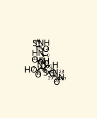 CC(NC(=O)[C@@H]1CSCN1)[C@H]1C(=O)N2C(C(=O)O)=C(S[C@@H]3CN[C@H](C(=O)N(C)C)C3)[C@H](C)[C@H]12